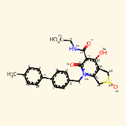 Cc1ccc(-c2ccc(Cn3c4c(c(O)c(C(=O)NCC(=O)O)c3=O)C[S+]([O-])C4)cc2)cc1